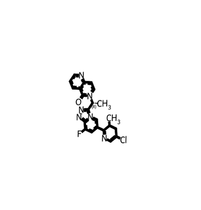 CC1CC(Cl)=CN=C1c1cc(F)c2nnc([C@@H](C)n3ccc4ncccc4c3=O)n2c1